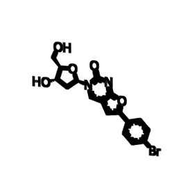 O=c1nc2oc(-c3ccc(Br)cc3)cc2cn1[C@H]1C[C@H](O)[C@@H](CO)O1